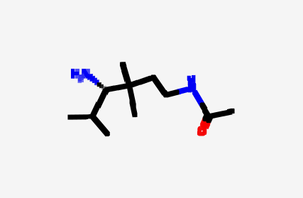 CC(=O)NCCC(C)(C)[C@@H](N)C(C)C